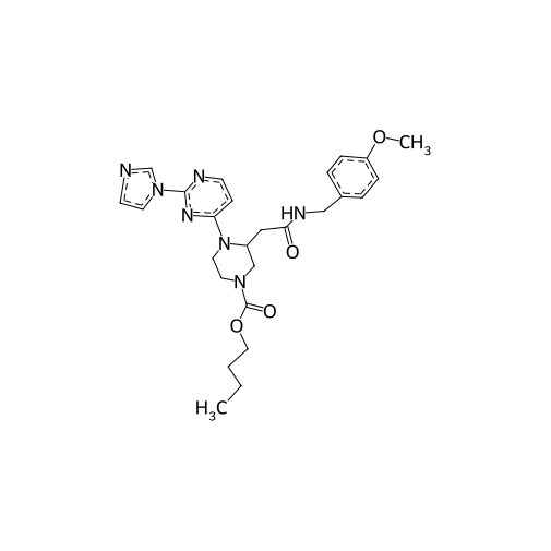 CCCCOC(=O)N1CCN(c2ccnc(-n3ccnc3)n2)C(CC(=O)NCc2ccc(OC)cc2)C1